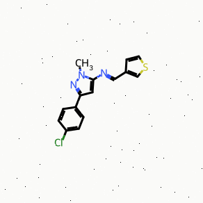 Cn1nc(-c2ccc(Cl)cc2)cc1/N=C/c1ccsc1